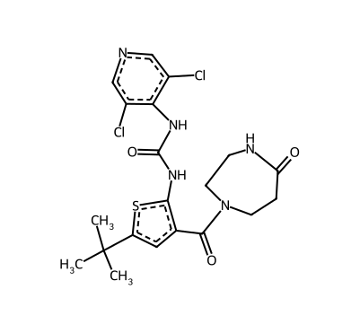 CC(C)(C)c1cc(C(=O)N2CCNC(=O)CC2)c(NC(=O)Nc2c(Cl)cncc2Cl)s1